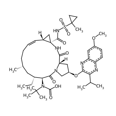 CC[C@@H]1C[C@H](C)CC/C=C\[C@@H]2C[C@@]2(C(=O)NS(=O)(=O)C2(C)CC2)NC(=O)[C@@H]2C[C@@H](Oc3nc4cc(OC)ccc4nc3C(C)C)CN2C(=O)[C@H]1N(C(=O)O)C(C)(C)C